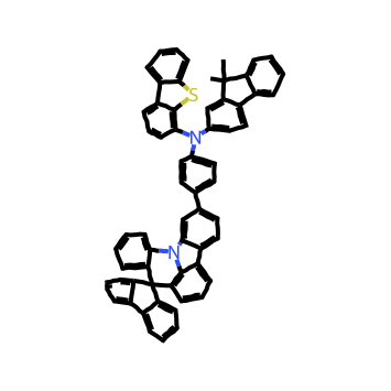 CC1(C)c2ccccc2-c2ccc(N(c3ccc(-c4ccc5c6cccc7c6n(c5c4)-c4ccccc4C74c5ccccc5-c5ccccc54)cc3)c3cccc4c3sc3ccccc34)cc21